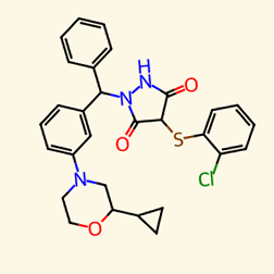 O=C1NN(C(c2ccccc2)c2cccc(N3CCOC(C4CC4)C3)c2)C(=O)C1Sc1ccccc1Cl